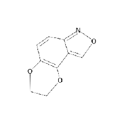 c1cc2nocc2c2c1OCCO2